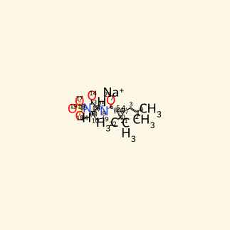 CC(C)=C[C@@H]1[C@@H](C(=O)N2CC[C@@H]3[C@H]2C(=O)N3S(=O)(=O)[O-])C1(C)C.[Na+]